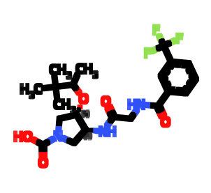 CC(O[C@H]1CN(C(=O)O)C[C@@H]1NC(=O)CNC(=O)c1cccc(C(F)(F)F)c1)C(C)(C)C